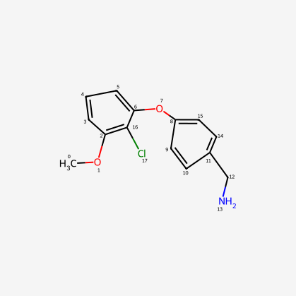 COc1cccc(Oc2ccc(CN)cc2)c1Cl